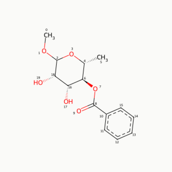 COC1O[C@H](C)[C@@H](OC(=O)c2ccccc2)[C@H](O)[C@@H]1O